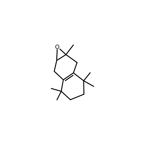 CC1(C)CCC(C)(C)C2=C1CC1OC1(C)C2